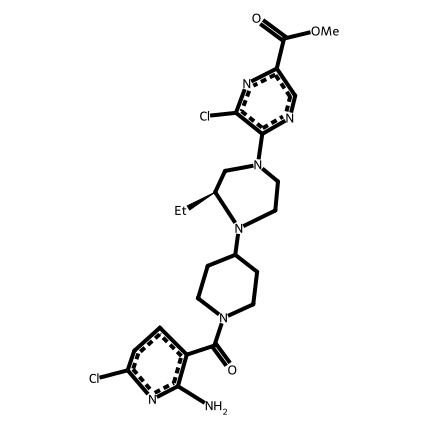 CC[C@H]1CN(c2ncc(C(=O)OC)nc2Cl)CCN1C1CCN(C(=O)c2ccc(Cl)nc2N)CC1